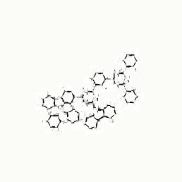 c1ccc(-c2nc(-c3ccccc3)nc(-c3cccc(-c4nc(-c5cccc([Si](c6ccccc6)(c6ccccc6)c6ccccc6)c5)nc(-n5c6ccccc6c6ccccc65)n4)c3)n2)cc1